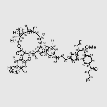 CC[C@H]1OC(=O)[C@H](C)[C@@H](O[C@H]2C[C@@](C)(OC)[C@@H](O)[C@H](C)O2)[C@H](C)[C@@H](O[C@H]2C[C@@H](N(C)CCc3cn([C@H](CF)[C@H](OC)c4ccc([S+]([O-])CCF)cc4)nn3)C[C@@H](C)O2)[C@](C)(O)C[C@@H](C)CN(C)[C@H](C)[C@@H](O)[C@]1(C)O